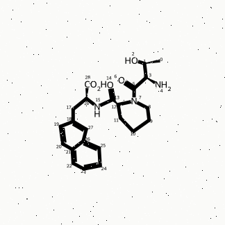 C[C@H](O)[C@@H](N)C(=O)N1CCCC[C@H]1C(=O)N[C@@H](Cc1ccc2ccccc2c1)C(=O)O